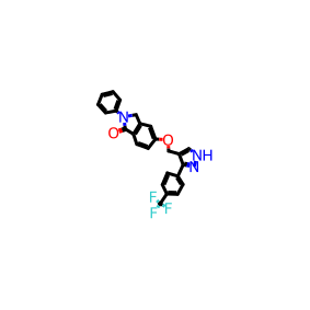 O=C1c2ccc(OCc3c[nH]nc3-c3ccc(C(F)(F)F)cc3)cc2CN1c1ccccc1